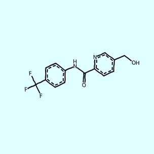 O=C(Nc1ccc(C(F)(F)F)cc1)c1ccc(CO)cn1